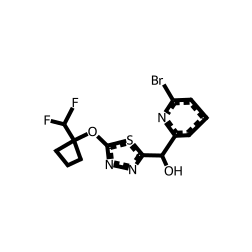 OC(c1cccc(Br)n1)c1nnc(OC2(C(F)F)CCC2)s1